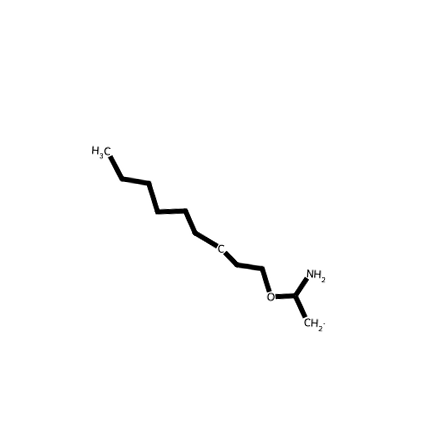 [CH2]C(N)OCCCCCCCCC